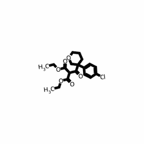 CCOC(=O)C(C(=O)OCC)C(=O)C1(c2ccc(Cl)cc2)CCCOC1